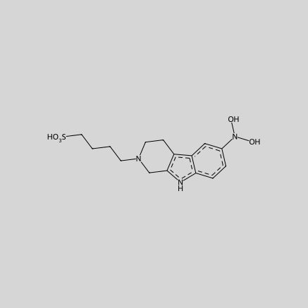 O=S(=O)(O)CCCCN1CCc2c([nH]c3ccc(N(O)O)cc23)C1